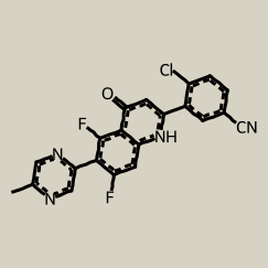 Cc1cnc(-c2c(F)cc3[nH]c(-c4cc(C#N)ccc4Cl)cc(=O)c3c2F)cn1